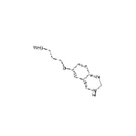 COCCCOc1ccc2c(c1)=CNCN=2